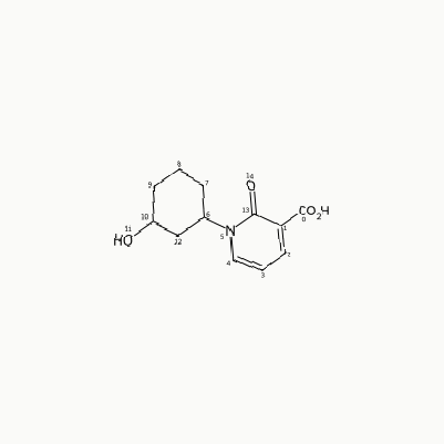 O=C(O)c1cccn(C2CCCC(O)C2)c1=O